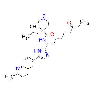 CCC(=O)CCCCC[C@H](NC(=O)C1(CC(C)C)CCNCC1)c1ncc(-c2ccc3nc(C)ccc3c2)[nH]1